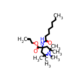 C=CCOC(=O)C1(NC(=O)CCCCCCC)CC(C)(C)N(C)C(C)(C)C1